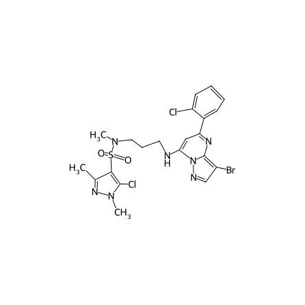 Cc1nn(C)c(Cl)c1S(=O)(=O)N(C)CCCNc1cc(-c2ccccc2Cl)nc2c(Br)cnn12